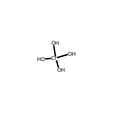 [OH][Cr]([OH])([OH])[OH]